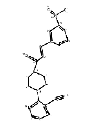 N#Cc1cccnc1N1CCN(C(=O)/C=C/c2cccc([N+](=O)[O-])c2)CC1